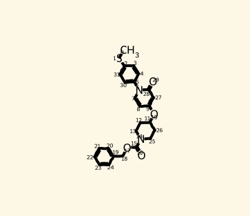 CSc1ccc(-n2ccc(OC3CCN(C(=O)OCc4ccccc4)CC3)cc2=O)cc1